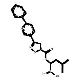 CC(C)CC(NC(=O)C1CC(c2ccc(-c3ccccc3)nc2)=NO1)B(O)O